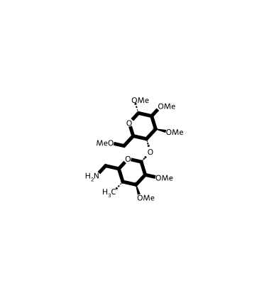 COCC1O[C@H](OC)C(OC)[C@@H](OC)[C@@H]1O[C@H]1OC(CN)[C@@H](C)[C@H](OC)C1OC